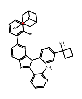 CC(=O)N1CC2CC(C1)N2c1cccc(-c2ccc3nc(-c4cccnc4N)n(-c4ccc(C5(N)CCC5)cc4)c3n2)c1F